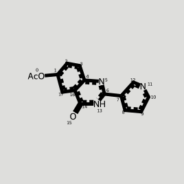 CC(=O)Oc1ccc2nc(-c3cccnc3)[nH]c(=O)c2c1